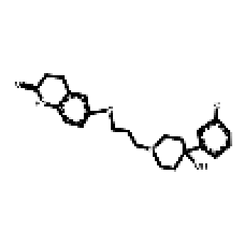 O=C1CCc2cc(OCCCN3CCC(O)(c4cccc(Cl)c4)CC3)ccc2N1